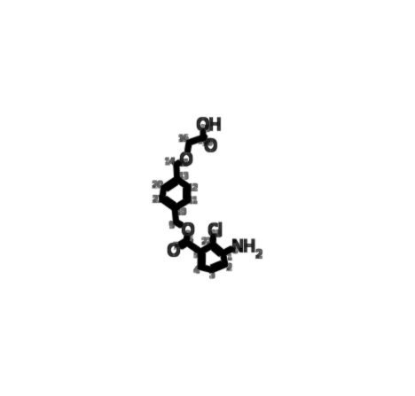 Nc1cccc(C(=O)OCc2ccc(COCC(=O)O)cc2)c1Cl